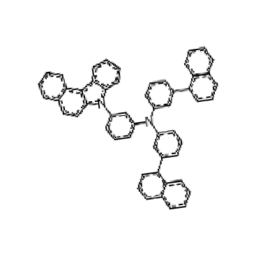 c1cc(-c2cccc3ccccc23)cc(N(c2cccc(-c3cccc4ccccc34)c2)c2cccc(-n3c4ccccc4c4c5ccccc5ccc43)c2)c1